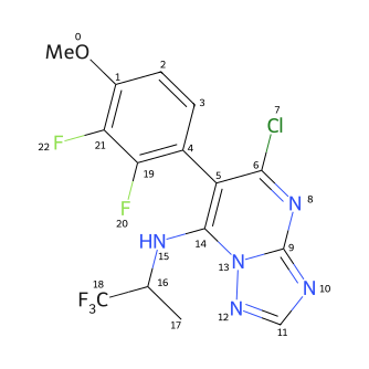 COc1ccc(-c2c(Cl)nc3ncnn3c2NC(C)C(F)(F)F)c(F)c1F